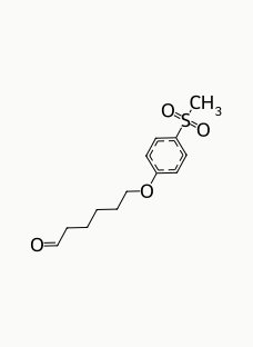 CS(=O)(=O)c1ccc(OCCCCCC=O)cc1